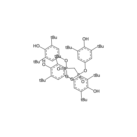 CC(C)(C)c1cc(OP(=O)(CP(=O)(Oc2cc(C(C)(C)C)c(O)c(C(C)(C)C)c2)Oc2cc(C(C)(C)C)c(O)c(C(C)(C)C)c2)Oc2cc(C(C)(C)C)c(O)c(C(C)(C)C)c2)cc(C(C)(C)C)c1O